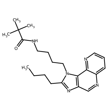 CCCCc1nc2cnc3cccnc3c2n1CCCCNC(=O)C(C)(C)C